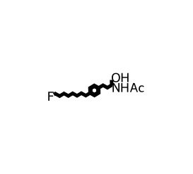 CC(=O)NC(CO)CCc1ccc(CCCCCCCCF)cc1